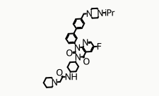 CC(C)N1CCN(Cc2ccc(-c3cccc(-n4c(=O)n([C@H]5CC[C@@H](NC(=O)CN6CCCCC6)CC5)c(=O)c5cc(F)cnc54)c3)cc2)CC1